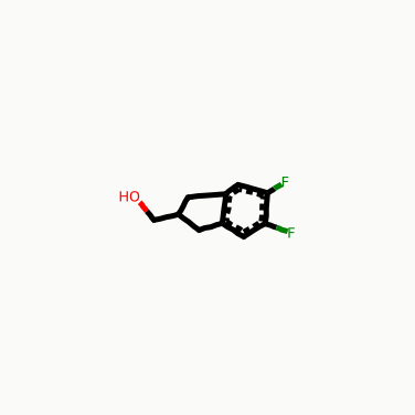 OCC1Cc2cc(F)c(F)cc2C1